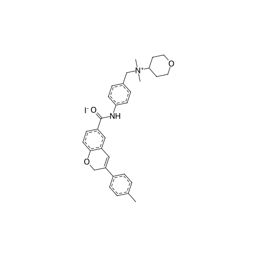 Cc1ccc(C2=Cc3cc(C(=O)Nc4ccc(C[N+](C)(C)C5CCOCC5)cc4)ccc3OC2)cc1.[I-]